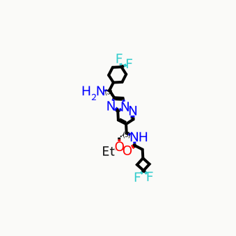 CCOC[C@@H](NC(=O)CC1CC(F)(F)C1)c1cnn2cc([C@@H](N)C3CCC(F)(F)CC3)nc2c1